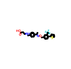 C/C(=N\OCc1ccc(-c2cc#cs2)c(C(F)(F)F)c1)c1c#cc(CNCCC(=O)O)cc1